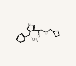 C[C@H](c1ccccc1)n1cncc1C(=O)COCC1CCC1